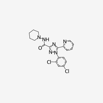 O=C(NN1CCCCC1)c1nc(-c2ccccn2)n(-c2ccc(Cl)cc2Cl)n1